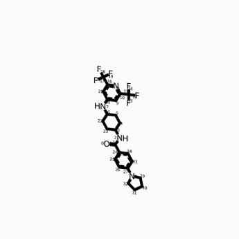 O=C(NC1CCC(Nc2cc(C(F)(F)F)nc(C(F)(F)F)c2)CC1)c1ccc(N2CCCC2)cc1